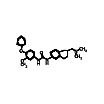 CN(C)CC1CCc2cc(NC(=O)Nc3ccc(Oc4ccccc4)c(OC(F)(F)F)c3)ccc2C1